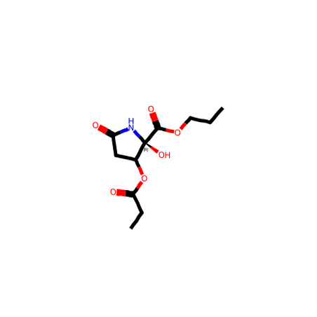 CCCOC(=O)[C@@]1(O)NC(=O)CC1OC(=O)CC